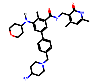 CCN(c1cc(-c2ccc(CN3CCC(N)CC3)cc2)cc(C(=O)NCc2c(C)cc(C)[nH]c2=O)c1C)C1CCOCC1